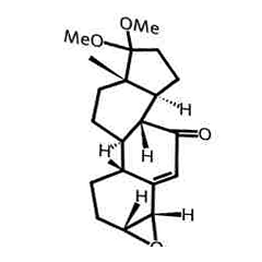 COC1(OC)CC[C@H]2[C@@H]3C(=O)C=C4[C@@H]5O[C@@H]5CC[C@]4(C)[C@H]3CC[C@@]21C